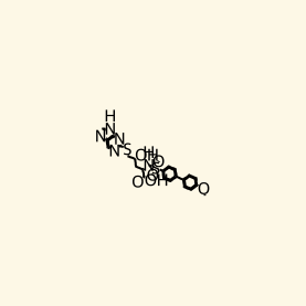 COc1ccc(-c2ccc(S(=O)(=O)NC(CC(O)CSc3ncc4nc[nH]c4n3)C(=O)O)cc2)cc1